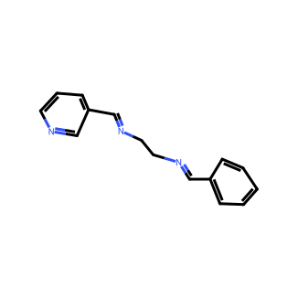 C(=N\CC/N=C/c1cccnc1)/c1ccccc1